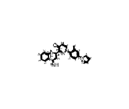 Cc1cc(-n2cccn2)ccc1-n1ccc(=O)c(C(CC=N)Nc2ccccc2)n1